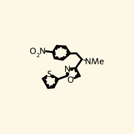 CN[C@@H](Cc1ccc([N+](=O)[O-])cc1)c1coc(-c2cccs2)n1